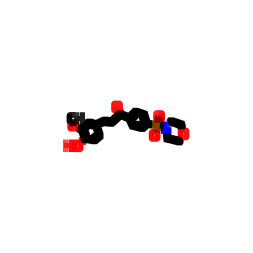 COc1cc(C=CC(=O)c2ccc(S(=O)(=O)N3CCOCC3)cc2)ccc1O